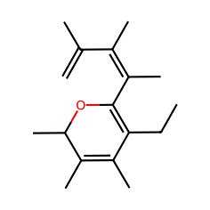 C=C(C)/C(C)=C(/C)C1=C(CC)C(C)=C(C)C(C)O1